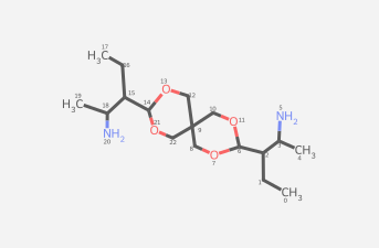 CCC(C(C)N)C1OCC2(CO1)COC(C(CC)C(C)N)OC2